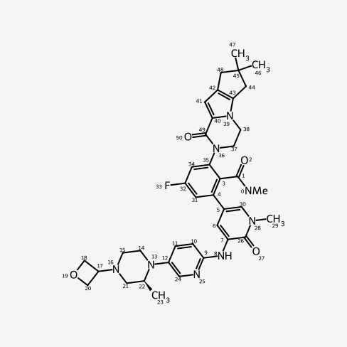 CNC(=O)c1c(-c2cc(Nc3ccc(N4CCN(C5COC5)C[C@@H]4C)cn3)c(=O)n(C)c2)cc(F)cc1N1CCn2c(cc3c2CC(C)(C)C3)C1=O